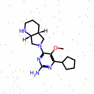 COc1c(C2CCCC2)nc(N)nc1N1C[C@H]2CCCN[C@H]2C1